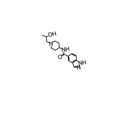 CC(O)CN1CCC(NC(=O)c2ccc3[nH]ncc3c2)CC1